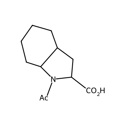 CC(=O)N1C(C(=O)O)CC2CCCCC21